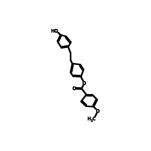 COc1ccc(C(=O)Oc2ccc(CCc3ccc(O)cc3)cc2)cc1